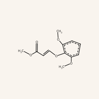 COC(=O)C=COc1c(OC)cccc1OC